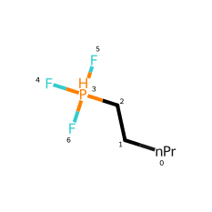 CCCCC[PH](F)(F)F